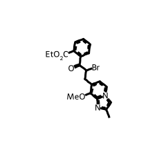 CCOC(=O)c1ccccc1C(=O)C(Br)Cc1ccn2cc(C)nc2c1OC